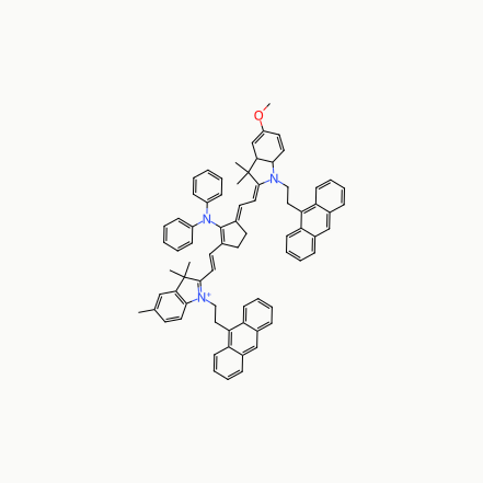 COC1=CC2C(C=C1)N(CCc1c3ccccc3cc3ccccc13)/C(=C/C=C1\CCC(/C=C/C3=[N+](CCc4c5ccccc5cc5ccccc45)c4ccc(C)cc4C3(C)C)=C1N(c1ccccc1)c1ccccc1)C2(C)C